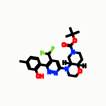 Cc1ccc(-c2nnc(N3CCO[C@@H]4CCN(C(=O)OC(C)(C)C)C[C@@H]43)cc2C(F)F)c(O)c1